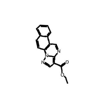 CCOC(=O)c1cnn2c1ncc1c3ccccc3ccc12